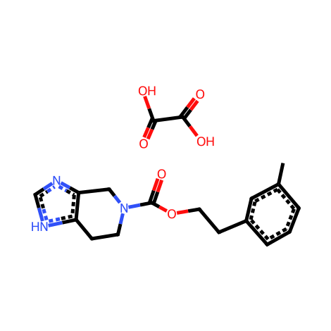 Cc1cccc(CCOC(=O)N2CCc3[nH]cnc3C2)c1.O=C(O)C(=O)O